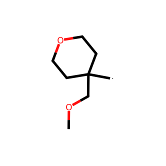 [CH2]C1(COC)CCOCC1